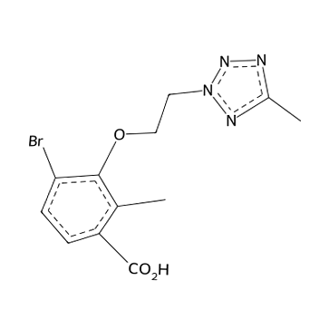 Cc1nnn(CCOc2c(Br)ccc(C(=O)O)c2C)n1